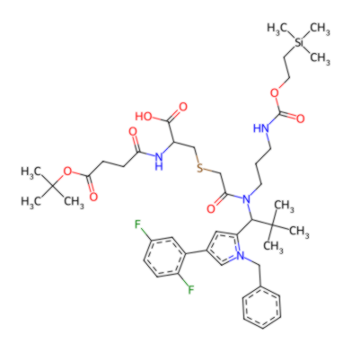 CC(C)(C)OC(=O)CCC(=O)NC(CSCC(=O)N(CCCNC(=O)OCC[Si](C)(C)C)C(c1cc(-c2cc(F)ccc2F)cn1Cc1ccccc1)C(C)(C)C)C(=O)O